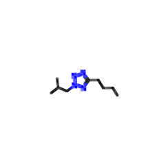 CCCCc1nnn(CC(C)C)n1